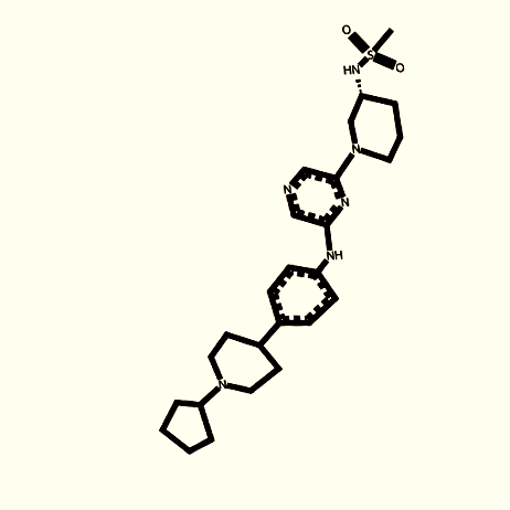 CS(=O)(=O)N[C@@H]1CCCN(c2cncc(Nc3ccc(C4CCN(C5CCCC5)CC4)cc3)n2)C1